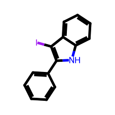 Ic1c(-c2ccccc2)[nH]c2ccccc12